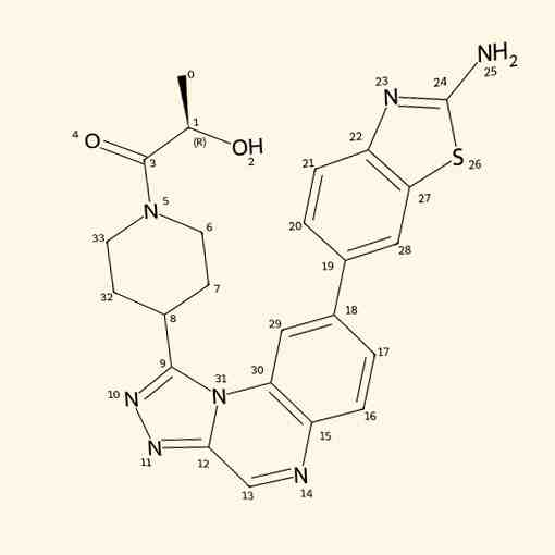 C[C@@H](O)C(=O)N1CCC(c2nnc3cnc4ccc(-c5ccc6nc(N)sc6c5)cc4n23)CC1